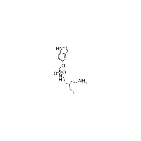 CCCC(CCN)CCNS(=O)(=O)COc1ccc2[nH]ccc2c1